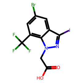 O=C(O)Cn1nc(I)c2cc(Br)cc(C(F)(F)F)c21